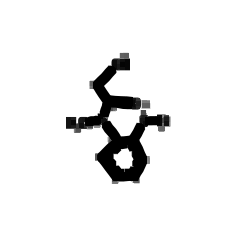 CCSc1ccccc1N(C)C(=O)CO